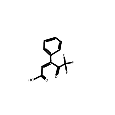 O=C(O)C=C(C(=O)C(F)(F)F)c1ccccc1